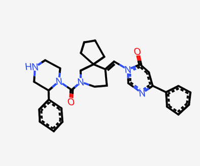 O=C(N1CCC(=Cn2cnc(-c3ccccc3)cc2=O)C2(CCCC2)C1)N1CCNCC1c1ccccc1